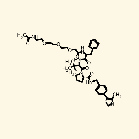 CC(=O)NCCOCCOCCOCC(=O)N[C@@H](Cc1ccccc1)C(=O)NC(C(=O)N1CCC[C@H]1C(=O)NCc1ccc(-c2scnc2C)cc1)C(C)(C)C